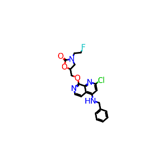 O=C1OC(COc2nccc3c(NCc4ccccc4)cc(Cl)nc23)CN1CCF